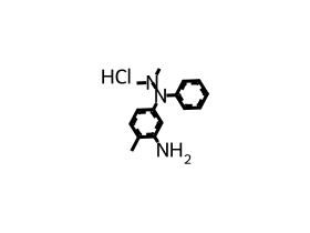 Cc1ccc(N(c2ccccc2)N(C)C)cc1N.Cl